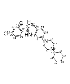 C[C@@H](Nc1cc(N2CCN(C3CCCCC3)CC2)ccc1F)c1ccc(Cl)cc1Cl